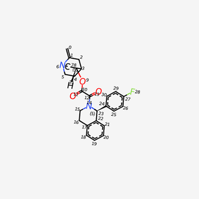 C=C1CC2CCN1C[C@H]2OC(=O)C(=O)N1CCc2ccccc2[C@@H]1c1ccc(F)cc1